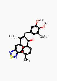 COc1cc(C/C(C(=O)c2ccc(C)cc2)=C(\C(=O)O)c2ccc3nsnc3c2)cc(OC(C)C)c1OC(C)C